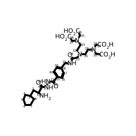 NC(CC1CCCCC1)C(=O)NNC(=O)c1ccc(CNC(=O)CN(CCN(CC(=O)O)CC(=O)O)CCN(CC(=O)O)CC(=O)O)cc1